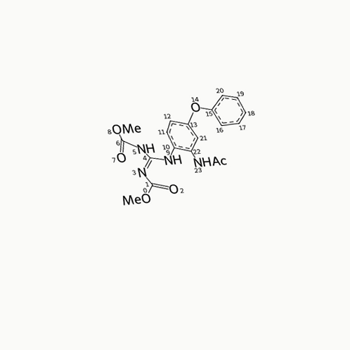 COC(=O)N=C(NC(=O)OC)Nc1ccc(Oc2ccccc2)cc1NC(C)=O